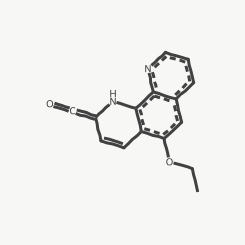 CCOc1cc2cccnc2c2c1C=CC(=C=O)N2